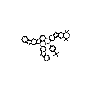 CC(C)(C)c1ccc(N2B3c4cc5c(cc4-n4c6cc7oc8ccccc8c7cc6c6ccc(c3c64)-c3cc4sc6cc7c(cc6c4cc32)C(C)(C)CCC7(C)C)oc2ccccc25)cc1